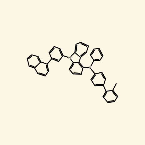 Cc1ccccc1-c1ccc(N(c2ccccc2)c2cccc3c2c2ccccc2n3-c2cccc(-c3cccc4ccccc34)c2)cc1